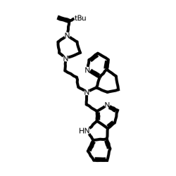 C=C(N1CCN(CCCN(Cc2nccc3c2[nH]c2ccccc23)C2CCCc3cccnc32)CC1)C(C)(C)C